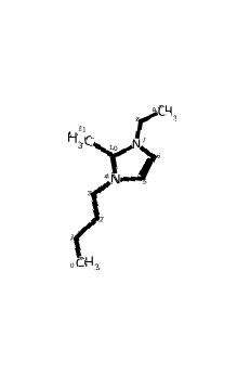 CCCCN1C=CN(CC)C1C